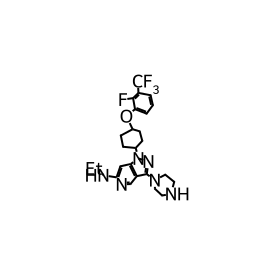 CCNc1cc2c(cn1)c(N1CCNCC1)nn2C1CCC(Oc2cccc(C(F)(F)F)c2F)CC1